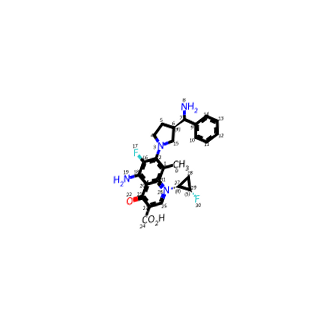 Cc1c(N2CC[C@@H](C(N)c3ccccc3)C2)c(F)c(N)c2c(=O)c(C(=O)O)cn([C@@H]3C[C@@H]3F)c12